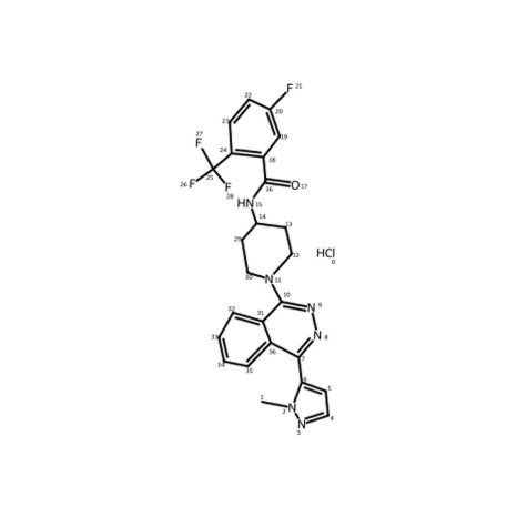 Cl.Cn1nccc1-c1nnc(N2CCC(NC(=O)c3cc(F)ccc3C(F)(F)F)CC2)c2ccccc12